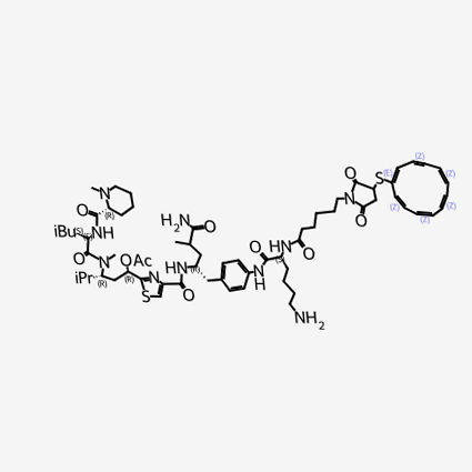 CC[C@H](C)[C@H](NC(=O)[C@H]1CCCCN1C)C(=O)N(C)[C@H](C[C@@H](OC(C)=O)c1nc(C(=O)N[C@@H](Cc2ccc(NC(=O)[C@H](CCCCN)NC(=O)CCCCCN3C(=O)CC(SC4=C/C=C\C=C/C=C\C=C/C=C\4)C3=O)cc2)CC(C)C(N)=O)cs1)C(C)C